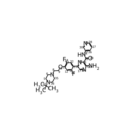 CC(C)(C)N1CCN(CCOc2cc(F)c(-c3cnc(N)c(C(=O)Nc4cccnc4)n3)cc2F)CC1